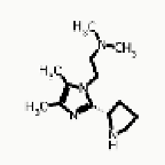 Cc1nc([C@@H]2CCCN2)n(CCN(C)C)c1C